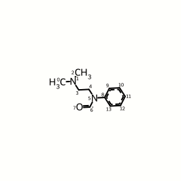 CN(C)CCN([C]=O)c1ccccc1